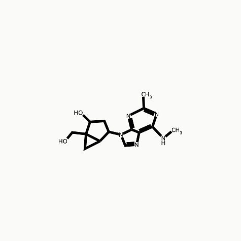 CNc1nc(C)nc2c1ncn2C1CC(O)C2(CO)CC12